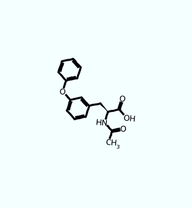 CC(=O)N[C@@H](Cc1cccc(Oc2ccccc2)c1)C(=O)O